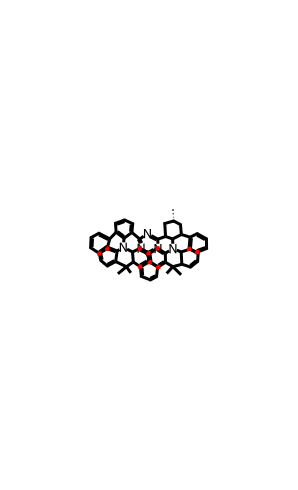 C[C@@H]1CC(c2ccccc2)C(N2c3ccccc3C(C)(C)C3C=CCCC32)C(c2nc(-c3cccc(-c4ccccc4)c3N3c4ccccc4C(C)(C)C4C=CC=CC43)nc(C3C=CC=CC3)n2)C1